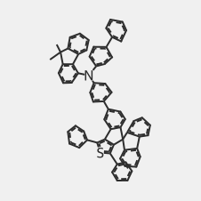 CC1(C)c2ccccc2-c2c(N(c3ccc(-c4ccccc4)cc3)c3ccc(-c4ccc5c(c4)-c4c(-c6ccccc6)sc(-c6ccccc6)c4C54c5ccccc5-c5ccccc54)cc3)cccc21